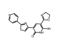 CC(C)c1[nH]c(=O)c(-c2csc(-c3ccncc3)n2)cc1C1=NCCO1